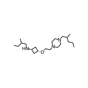 CCCC(C)CN1CCN(CCO[C@H]2C[C@H](NCC(C)CC)C2)CC1